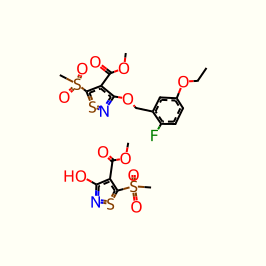 CCOc1ccc(F)c(COc2nsc(S(C)(=O)=O)c2C(=O)OC)c1.COC(=O)c1c(O)nsc1S(C)(=O)=O